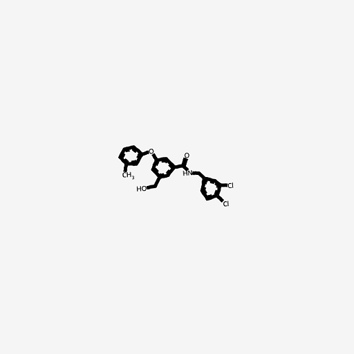 Cc1cccc(Oc2cc(CO)cc(C(=O)NCc3ccc(Cl)c(Cl)c3)c2)c1